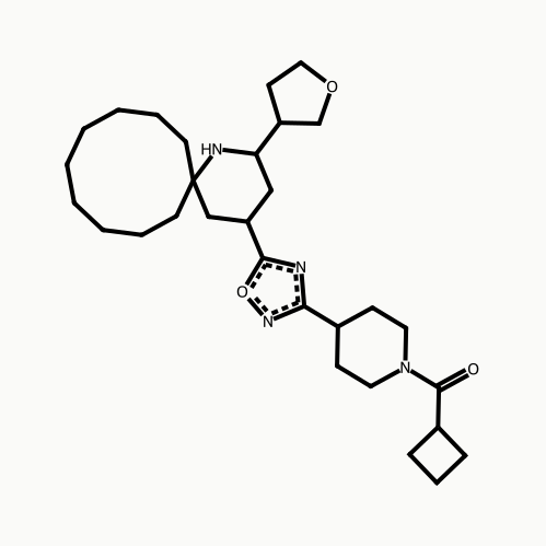 O=C(C1CCC1)N1CCC(c2noc(C3CC(C4CCOC4)NC4(CCCCCCCCC4)C3)n2)CC1